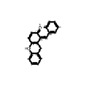 c1ccc2c(c1)Cc1c(ccc3[o+]c4ccccc4cc13)O2